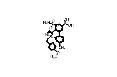 COc1ccc(Cn2nnc(-c3c(-c4ccc(C)cc4)cc(B(O)O)cc3S(N)(=O)=O)n2)cc1